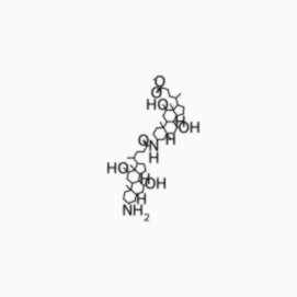 COC(=O)CCC(C)C1CCC2[C@@H]3C(CC(O)C12C)C1(C)CC[C@@H](NC(=O)CCC(C)C2CCC4[C@@H]5C(CC(O)C24C)C2(C)CC[C@@H](N)C[C@H]2C[C@@H]5O)C[C@H]1C[C@@H]3O